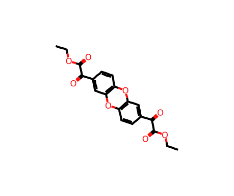 CCOC(=O)C(=O)c1ccc2c(c1)Oc1ccc(C(=O)C(=O)OCC)cc1O2